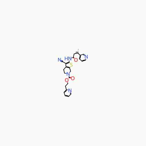 C[C@@H](CC(=O)Nc1sc2c(c1C#N)CCN(C(=O)OCCc1ccccn1)C2)c1cccnc1